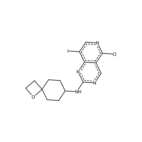 Clc1ncc(I)c2nc(NC3CCC4(CCO4)CC3)ncc12